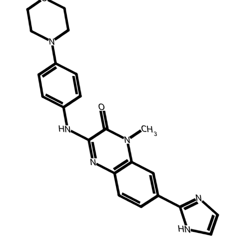 Cn1c(=O)c(Nc2ccc(N3CCOCC3)cc2)nc2ccc(-c3ncc[nH]3)cc21